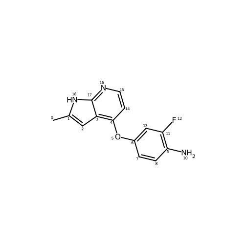 Cc1cc2c(Oc3ccc(N)c(F)c3)ccnc2[nH]1